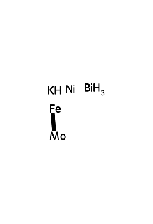 [BiH3].[Fe][Mo].[KH].[Ni]